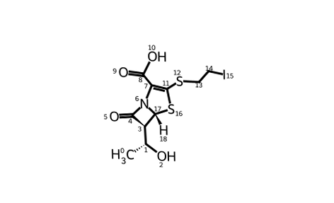 C[C@@H](O)[C@H]1C(=O)N2C(C(=O)O)=C(SCCI)S[C@H]12